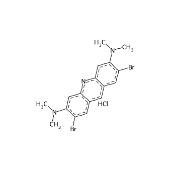 CN(C)c1cc2nc3cc(N(C)C)c(Br)cc3cc2cc1Br.Cl